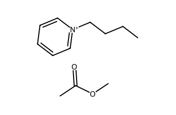 CCCC[n+]1ccccc1.COC(C)=O